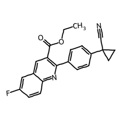 CCOC(=O)c1cc2cc(F)ccc2nc1-c1ccc(C2(C#N)CC2)cc1